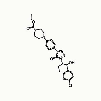 CCOC(=O)N1CCN(c2ccc(-n3cnn(C(CC)C(O)c4ccc(Cl)cc4)c3=O)cc2)CC1